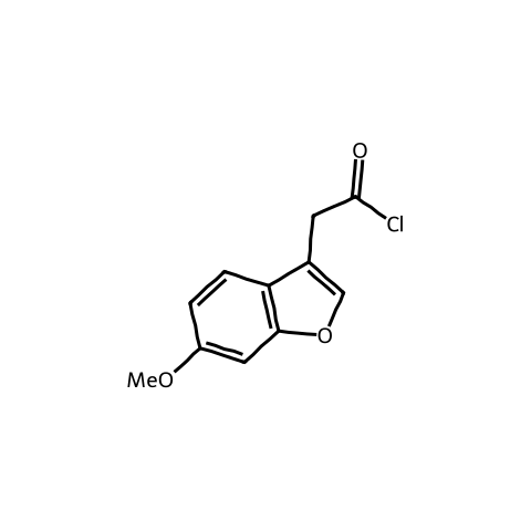 COc1ccc2c(CC(=O)Cl)coc2c1